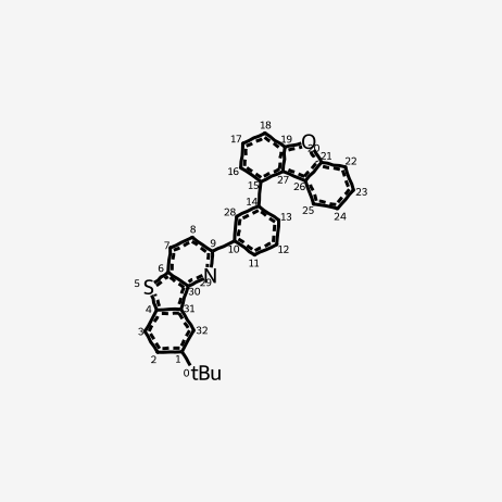 CC(C)(C)c1ccc2sc3ccc(-c4cccc(-c5cccc6oc7ccccc7c56)c4)nc3c2c1